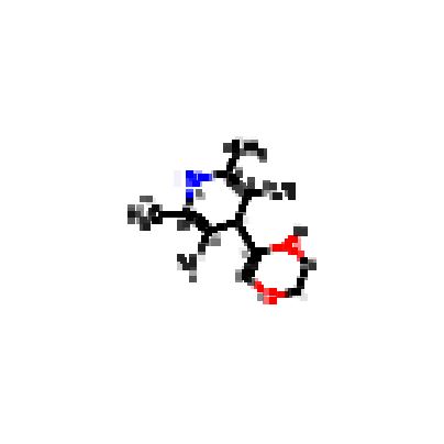 CC1=C(C#N)C(C2=COCCO2)C(C#N)=C(C)N1